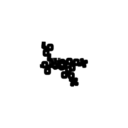 CCC(=O)OCCN[C@@H](Cc1ccc(OC(=O)OCC(C)(C)C)c(OC(=O)OCC(C)(C)C)c1)C(=O)OC